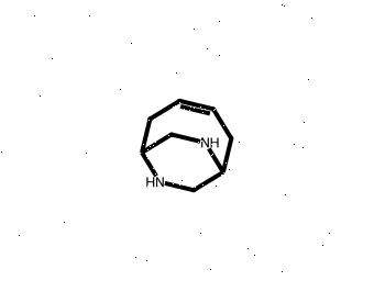 C1=C\CC2CNC(C/1)CN2